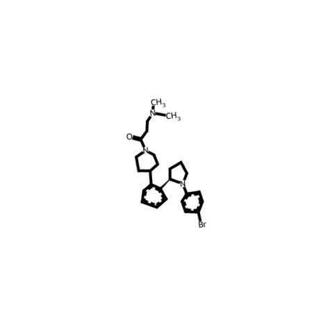 CN(C)CCC(=O)N1CCC(c2ccccc2[C@H]2CCCN2c2ccc(Br)cc2)CC1